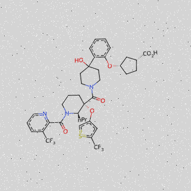 CCC[C@H]1N(C(=O)c2ncccc2C(F)(F)F)CCC[C@@]1(Oc1csc(C(F)(F)F)c1)C(=O)N1CCC(O)(c2ccccc2O[C@H]2CC[C@@H](C(=O)O)C2)CC1